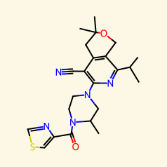 CC(C)c1nc(N2CCN(C(=O)c3cscn3)C(C)C2)c(C#N)c2c1COC(C)(C)C2